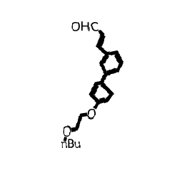 CCCCOCCOc1ccc(-c2cccc(/C=C/C=O)c2)cc1